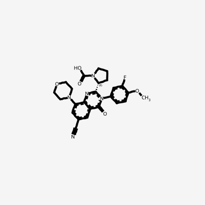 COc1ccc(-n2c([C@H]3CCCN3C(=O)O)nc3c(N4CCOCC4)cc(C#N)cc3c2=O)cc1F